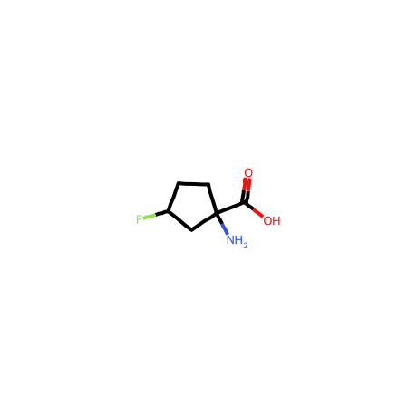 NC1(C(=O)O)CCC(F)C1